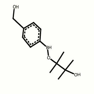 CC(C)(O)C(C)(C)OBc1ccc(CO)cc1